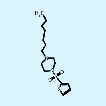 CCCCCCCN1CCN(S(=O)(=O)c2cccs2)CC1